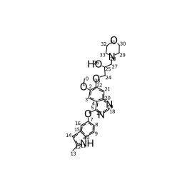 COc1cc2c(Oc3ccc4[nH]c(C)cc4c3)ncnc2cc1OCC(O)CN1CCOCC1